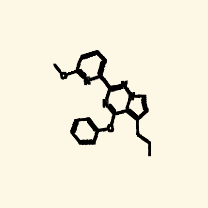 CCCc1ccn2nc(-c3cccc(OC)n3)nc(Oc3ccccc3)c12